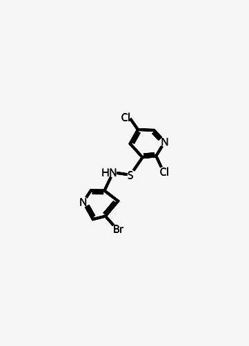 Clc1cnc(Cl)c(SNc2cncc(Br)c2)c1